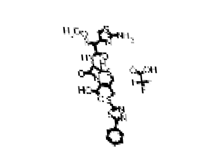 CON=C(C(=O)N[C@@H]1C(=O)N2C(C(=O)O)=C(CSc3nnc(-c4ccccc4)s3)CS[C@@H]12)c1csc(N)n1.O=C(O)C(F)(F)F